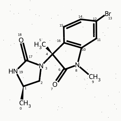 C[C@@H]1CN([C@@]2(C)C(=O)N(C)c3cc(Br)ccc32)C(=O)N1